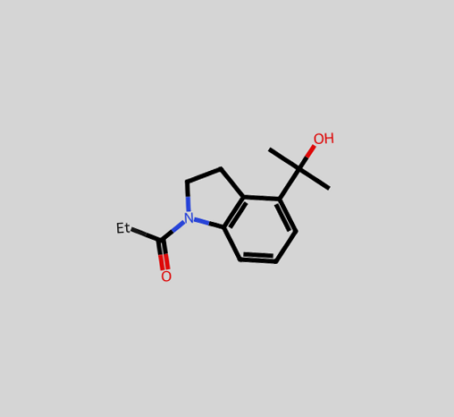 CCC(=O)N1CCc2c1cccc2C(C)(C)O